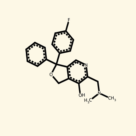 CN(C)Cc1ncc2c(c1O)COC2(c1ccccc1)c1ccc(F)cc1